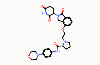 O=C1CCC(N2Cc3c(OCCN4CCC[C@@H]4C(=O)Nc4ccc(N5CCOCC5)cc4)cccc3C2=O)C(=O)N1